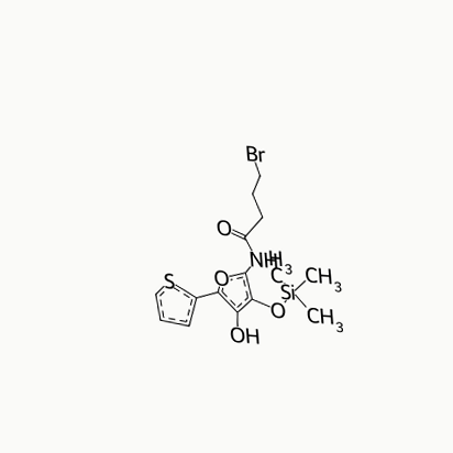 C[Si](C)(C)Oc1c(NC(=O)CCCBr)oc(-c2cccs2)c1O